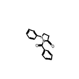 O=C1CCN(c2ccccc2)N1C(=O)c1ccccc1